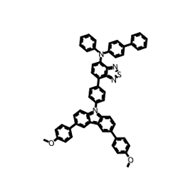 COc1ccc(-c2ccc3c(c2)c2cc(-c4ccc(OC)cc4)ccc2n3-c2ccc(-c3ccc(N(c4ccccc4)c4ccc(-c5ccccc5)cc4)c4nsnc34)cc2)cc1